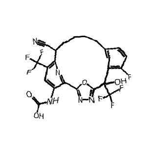 N#CC1CCCCc2ccc(F)c(c2)C(O)(C(F)(F)F)c2nnc(o2)-c2nc1c(C(F)(F)F)cc2NC(=O)O